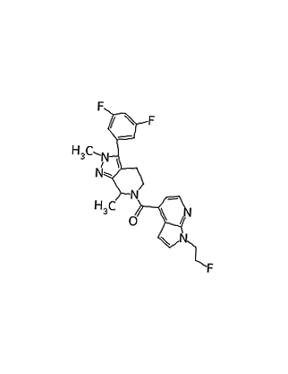 CC1c2nn(C)c(-c3cc(F)cc(F)c3)c2CCN1C(=O)c1ccnc2c1ccn2CCF